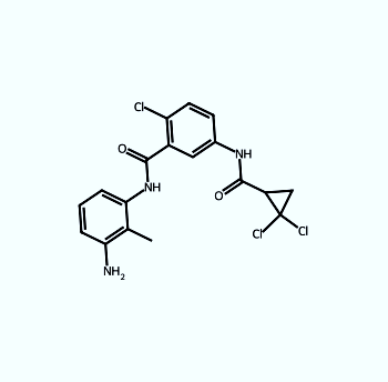 Cc1c(N)cccc1NC(=O)c1cc(NC(=O)C2CC2(Cl)Cl)ccc1Cl